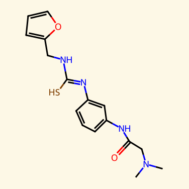 CN(C)CC(=O)Nc1cccc(/N=C(\S)NCc2ccco2)c1